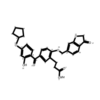 COC(=O)CCc1cc(C(=O)c2ccc(OC3CCCC3)cc2O)ccc1OCc1ccc2c(c1)OCC2=O